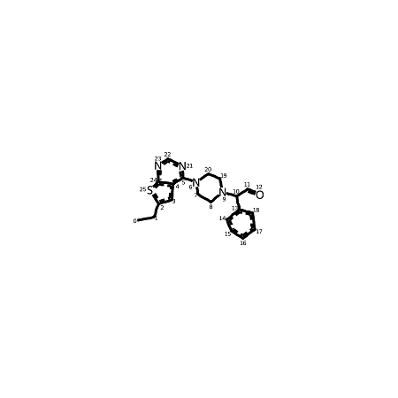 CCc1cc2c(N3CCN(C(C=O)c4ccccc4)CC3)ncnc2s1